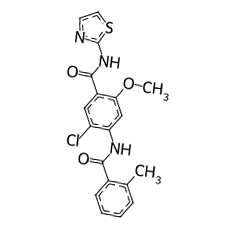 COc1cc(NC(=O)c2ccccc2C)c(Cl)cc1C(=O)Nc1nccs1